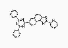 c1ccc(-c2nc(-c3ccccc3)nc(-c3ccc4c(ccc5sc(-c6ccccn6)nc54)c3)n2)cc1